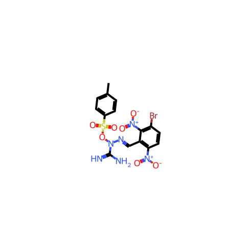 Cc1ccc(S(=O)(=O)ON(N=Cc2c([N+](=O)[O-])ccc(Br)c2[N+](=O)[O-])C(=N)N)cc1